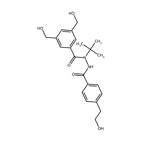 CC(C)(C)N(NC(=O)c1ccc(CCO)cc1)C(=O)c1cc(CO)cc(CO)c1